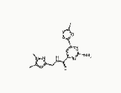 Cc1ccc(-c2cc(C(=O)NCc3cc(C)n(C)n3)nc(N)n2)o1